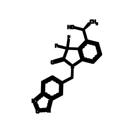 C[C@H](O)c1cccc2c1C(F)(F)C(=O)N2Cc1ccc2nonc2c1